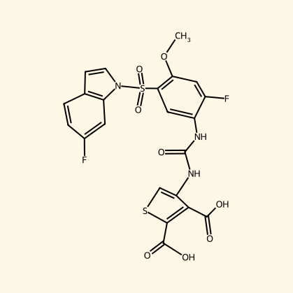 COc1cc(F)c(NC(=O)Nc2csc(C(=O)O)c2C(=O)O)cc1S(=O)(=O)n1ccc2ccc(F)cc21